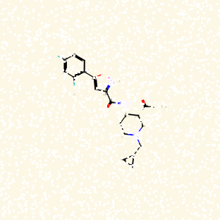 COC(=O)[C@H]1CN(CC2CC2)CC[C@@H]1NC(=O)c1cc(-c2ccc(F)cc2F)on1